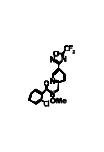 CON(Cc1ccc(-c2noc(C(F)(F)F)n2)cn1)C(=O)c1ccccc1Cl